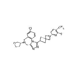 Fc1nc(N2CC3(CC(c4nnc5n4-c4ccc(Cl)cc4CN([C@H]4CCOC4)C5)C3)C2)ccc1C(F)(F)F